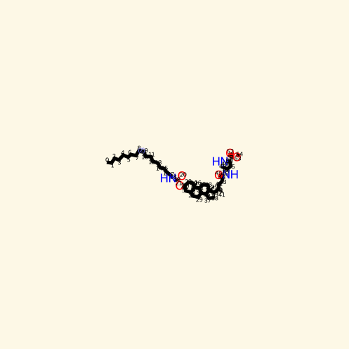 CCCCCCCC/C=C\CCCCCCCCNC(=O)O[C@@H]1CC[C@@]2(C)C(CCC3C2CC[C@@]2(C)C3CC[C@@H]2[C@H](C)CCC(=O)N[C@@H]2CN[C@H](C(=O)OC)C2)C1